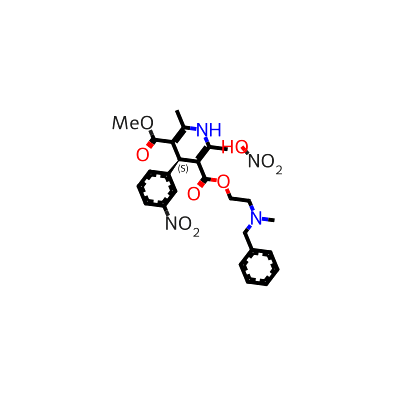 COC(=O)C1=C(C)NC(C)=C(C(=O)OCCN(C)Cc2ccccc2)[C@H]1c1cccc([N+](=O)[O-])c1.O=[N+]([O-])O